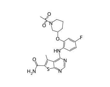 Cc1c(C(N)=O)sc2ncnc(Nc3ccc(F)cc3OC3CCCN(S(C)(=O)=O)C3)c12